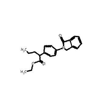 CCCC(C(=O)OCC)c1ccc(N2Cc3ccccc3C2=O)cc1